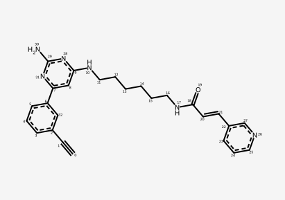 C#Cc1cccc(-c2cc(NCCCCCCNC(=O)/C=C/c3cccnc3)nc(N)n2)c1